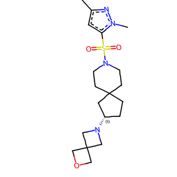 Cc1cc(S(=O)(=O)N2CCC3(CC[C@H](N4CC5(COC5)C4)C3)CC2)n(C)n1